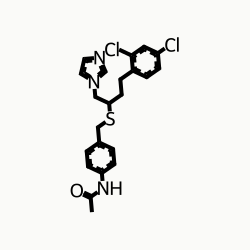 CC(=O)Nc1ccc(CSC(CCc2ccc(Cl)cc2Cl)Cn2ccnc2)cc1